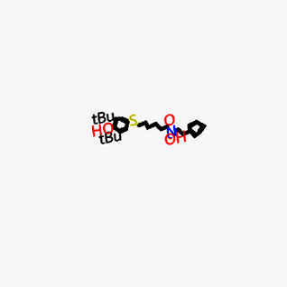 CC(C)(C)c1cc(SCCCCCC(=O)N(O)CCc2ccccc2)cc(C(C)(C)C)c1O